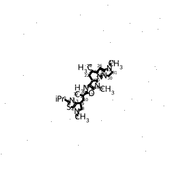 CC(C)c1nc2c(s1)N(C)CC2CC(C)c1nc2c(o1)N(C)CC2CC(C)c1cc2n(n1)CCN2C